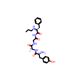 CCCN[C@@H](Cc1ccccc1)C(=O)NC(=O)CNC(=O)[C@@H](C)NC(=O)[C@@H](N)Cc1ccc(O)cc1